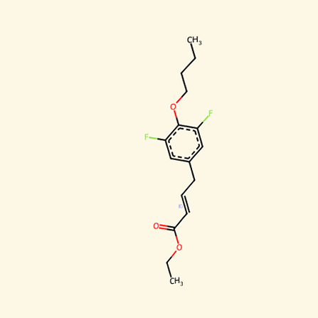 CCCCOc1c(F)cc(C/C=C/C(=O)OCC)cc1F